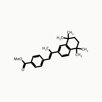 COC(=O)c1ccc(C=C(C)c2ccc3c(c2)C(C)(C)CCC3(C)C)cc1